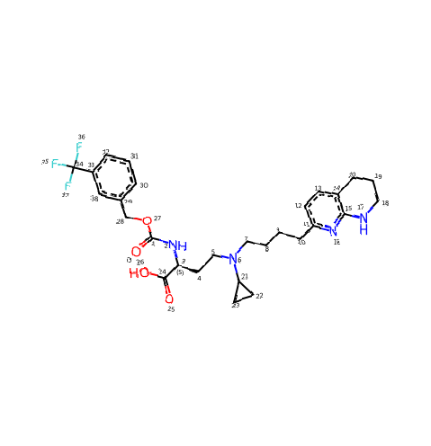 O=C(N[C@@H](CCN(CCCCc1ccc2c(n1)NCCC2)C1CC1)C(=O)O)OCc1cccc(C(F)(F)F)c1